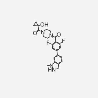 CN1NCc2ccc(-c3cc(F)c(C(=O)N4CCN(C(=O)C5(O)CC5)CC4)c(F)c3)cc21